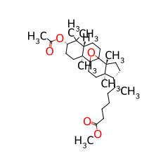 COC(=O)CCCC[C@@H](C)[C@H]1CC[C@@]2(C)C34CC[C@H]5C(C)(C)[C@@H](OC(C)=O)CC[C@]5(C)C3(CC[C@]12C)O4